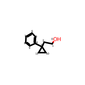 OCCC1(c2cc[c]cc2)CC1